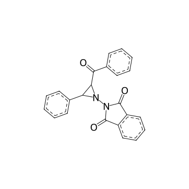 O=C(c1ccccc1)C1C(c2ccccc2)N1N1C(=O)c2ccccc2C1=O